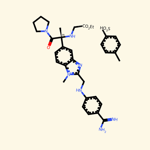 CCOC(=O)CN[C@@](C)(C(=O)N1CCCC1)c1ccc2c(c1)nc(CNc1ccc(C(=N)N)cc1)n2C.Cc1ccc(S(=O)(=O)O)cc1